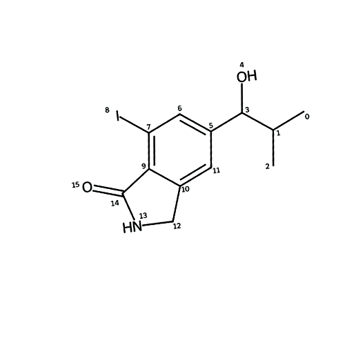 CC(C)C(O)c1cc(I)c2c(c1)CNC2=O